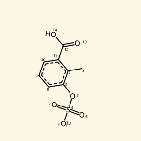 Cc1c(OS(=O)(=O)O)cccc1C(=O)O